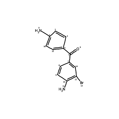 Nc1ccc(C(=O)c2ccc(N)c(Br)c2)cc1